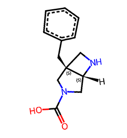 O=C(O)N1C[C@H]2NC[C@@]2(Cc2ccccc2)C1